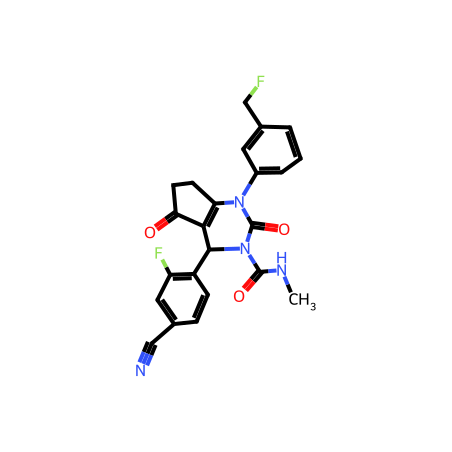 CNC(=O)N1C(=O)N(c2cccc(CF)c2)C2=C(C(=O)CC2)C1c1ccc(C#N)cc1F